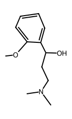 COc1ccccc1C(O)CCN(C)C